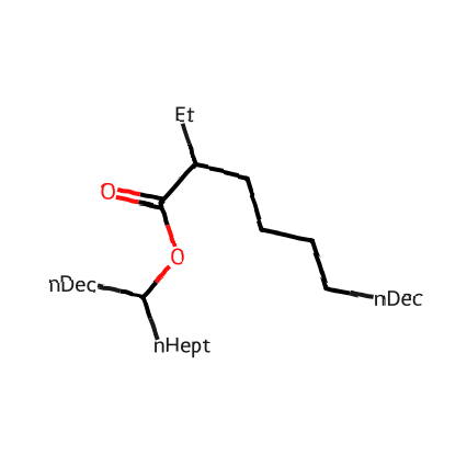 CCCCCCCCCCCCCCC(CC)C(=O)OC(CCCCCCC)CCCCCCCCCC